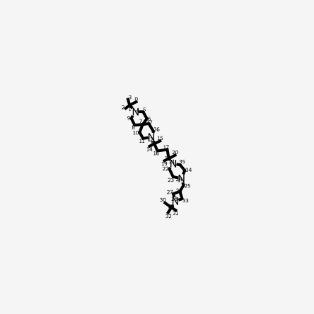 CC(C)(C)N1CCC2(CC1)CCN(C(C)(C)CCC(C)(C)N1CCN(CC3CN(C(C)(C)C)C3)CC1)CC2